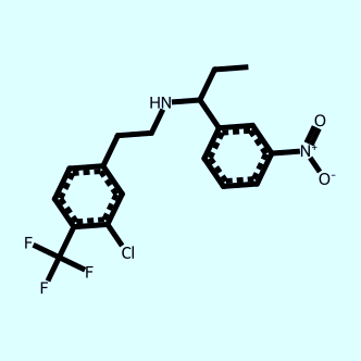 CCC(NCCc1ccc(C(F)(F)F)c(Cl)c1)c1cccc([N+](=O)[O-])c1